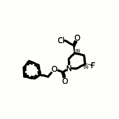 O=C(Cl)[C@H]1C[C@H](F)CN(C(=O)OCc2ccccc2)C1